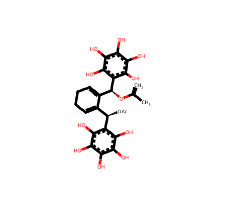 C=C(C)O[C@@H](C1=CCCC=C1[C@@H](OC(C)=O)c1c(O)c(O)c(O)c(O)c1O)c1c(O)c(O)c(O)c(O)c1O